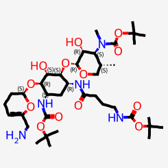 C[C@@H]1CO[C@H](O[C@@H]2[C@@H](O)[C@H](O[C@@H]3CCC=C(CN)O3)[C@@H](NC(=O)OC(C)(C)C)C[C@H]2NC(=O)CCCNC(=O)OC(C)(C)C)[C@H](O)[C@H]1N(C)C(=O)OC(C)(C)C